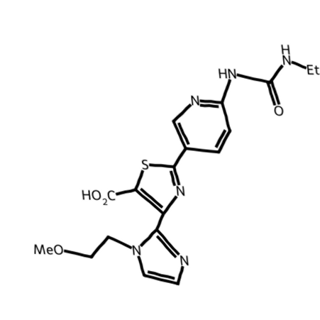 CCNC(=O)Nc1ccc(-c2nc(-c3nccn3CCOC)c(C(=O)O)s2)cn1